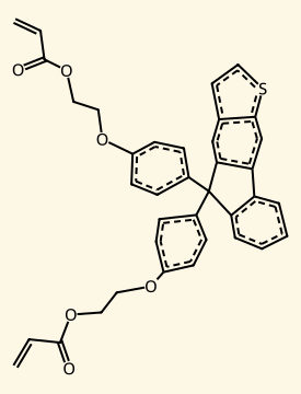 C=CC(=O)OCCOc1ccc(C2(c3ccc(OCCOC(=O)C=C)cc3)c3ccccc3-c3cc4sccc4cc32)cc1